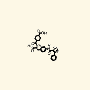 O=C(Nc1ccc(C[C@H](NC(=O)C2CCC(C(=O)O)CC2)C(=O)O)cc1)c1snnc1-c1ccccc1